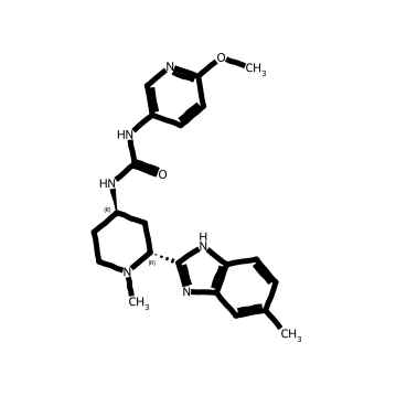 COc1ccc(NC(=O)N[C@@H]2CCN(C)[C@@H](c3nc4cc(C)ccc4[nH]3)C2)cn1